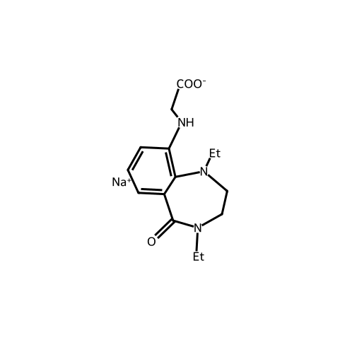 CCN1CCN(CC)c2c(NCC(=O)[O-])cccc2C1=O.[Na+]